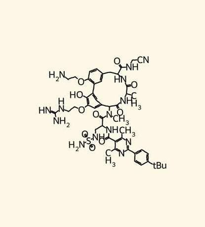 Cc1nc(-c2ccc(C(C)(C)C)cc2)nc(C)c1C(=O)NC(CNS(N)(=O)=O)C(=O)N(C)C1C(=O)NC(C)C(=O)NC(C(=O)NCC#N)Cc2ccc(OCCN)c(c2)-c2cc1cc(OCCNC(=N)N)c2O